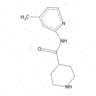 Cc1ccnc(NC(=O)C2CCNCC2)c1